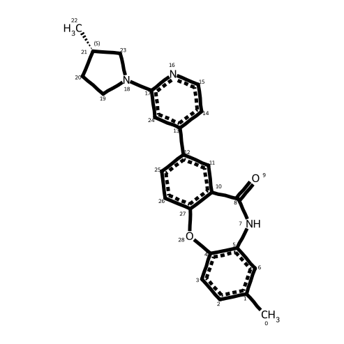 Cc1ccc2c(c1)NC(=O)c1cc(-c3ccnc(N4CC[C@H](C)C4)c3)ccc1O2